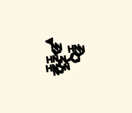 c1nn(C2CC2)cc1Nc1nc(-c2ccc3cn[nH]c3c2)nc2cn[nH]c12